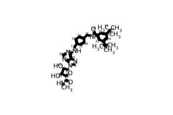 CNC(=O)[C@H]1O[C@@H](n2cnc3c(NCc4ccc(CNC(=O)c5cc(C(C)(C)C)cc(C(C)(C)C)c5)cc4)ncnc32)C(O)C1O